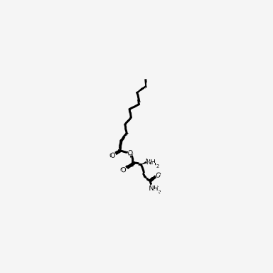 CCCCCCCCCC(=O)OC(=O)[C@@H](N)CC(N)=O